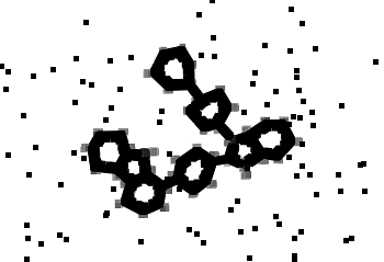 c1ccc(-c2ccc(-n3c(-c4ccc(-c5cccc6c5oc5ccccc56)cc4)nc4ccccc43)cc2)cc1